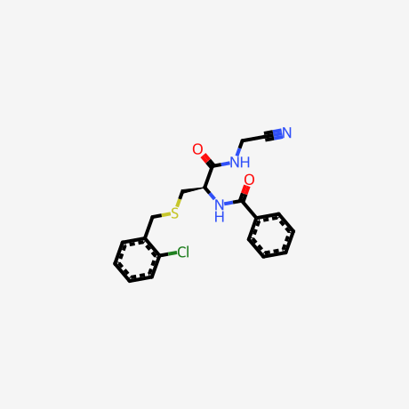 N#CCNC(=O)[C@H](CSCc1ccccc1Cl)NC(=O)c1ccccc1